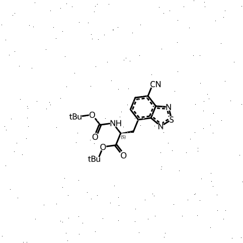 CC(C)(C)OC(=O)N[C@@H](Cc1ccc(C#N)c2nsnc12)C(=O)OC(C)(C)C